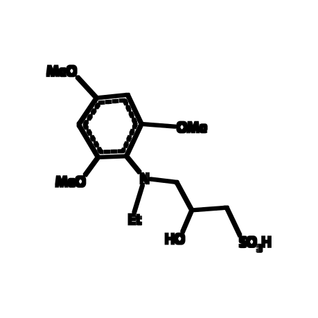 CCN(CC(O)CS(=O)(=O)O)c1c(OC)cc(OC)cc1OC